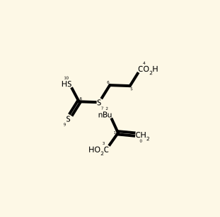 C=C(CCCC)C(=O)O.O=C(O)CCSC(=S)S